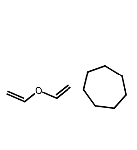 C1CCCCCC1.C=COC=C